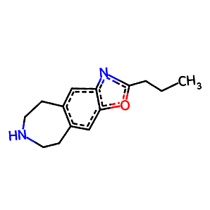 CCCc1nc2cc3c(cc2o1)CCNCC3